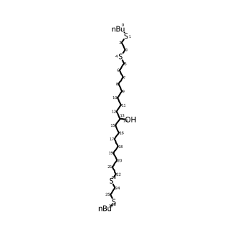 CCCCSCCSCCCCCCCCC(O)CCCCCCCCSCCSCCCC